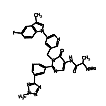 CNC(C)C(=O)Nc1cnc(-c2cccc(-c3nnn(C)n3)c2)n(Cc2cncc(-n3cc(C)c4cc(F)ccc43)c2)c1=O